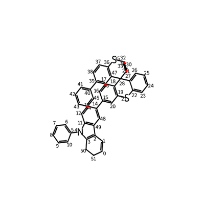 C1=Cc2c(n(-c3ccccc3)c3ccc(-c4ccc5c(c4)Sc4ccccc4C54c5ccccc5Sc5ccc(-c6ccccc6)cc54)cc23)CC1